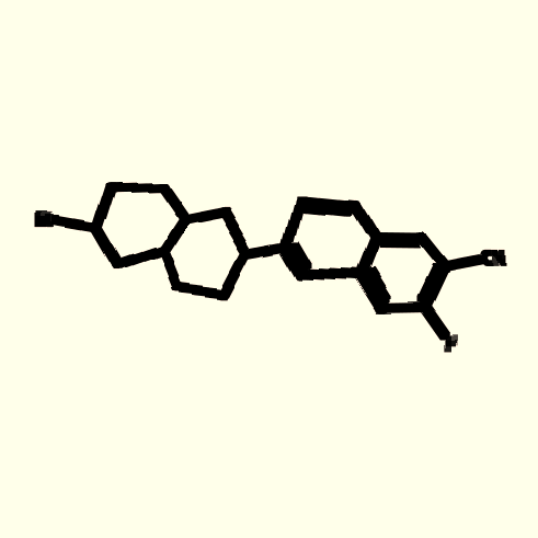 CCC1CCC2CC(c3ccc4cc(C#N)c(F)cc4c3)CCC2C1